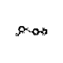 Brc1cccc(OCc2ccc(-n3nccn3)cc2)n1